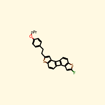 CCCOc1ccc(CCc2cc3c4c(ccc3s2)-c2c-4ccc3sc(F)cc23)cc1